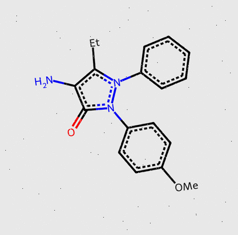 CCc1c(N)c(=O)n(-c2ccc(OC)cc2)n1-c1ccccc1